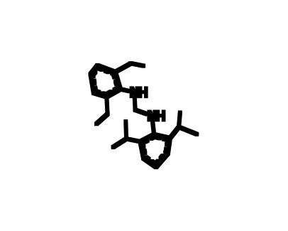 CCc1cccc(CC)c1NCNc1c(C(C)C)cccc1C(C)C